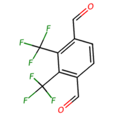 O=Cc1ccc(C=O)c(C(F)(F)F)c1C(F)(F)F